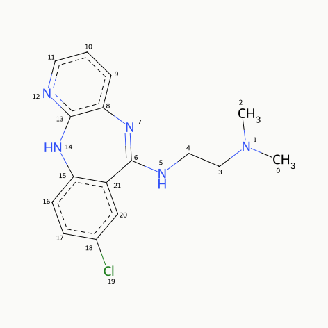 CN(C)CCNC1=Nc2cccnc2Nc2ccc(Cl)cc21